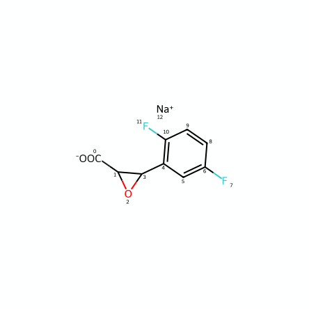 O=C([O-])C1OC1c1cc(F)ccc1F.[Na+]